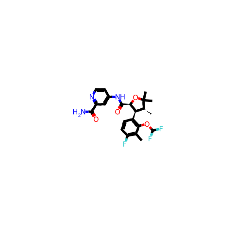 Cc1c(F)ccc([C@H]2[C@@H](C(=O)Nc3ccnc(C(N)=O)c3)OC(C)(C)[C@@H]2C)c1OC(F)F